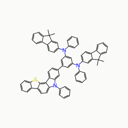 CC1(C)c2ccccc2-c2ccc(N(c3ccccc3)c3cc(-c4ccc5c6c7sc8ccccc8c7ccc6n(-c6ccccc6)c5c4)cc(N(c4ccccc4)c4ccc5c(c4)C(C)(C)c4ccccc4-5)c3)cc21